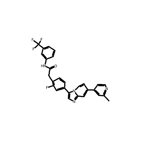 Cc1cc(-c2ccn3c(-c4ccc(CC(=O)Nc5cccc(C(F)(F)F)c5)c(F)c4)cnc3c2)ccn1